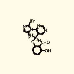 [2H]C([2H])(Oc1cccc(O)c1C=O)c1cncnc1-n1c(F)cnc1C(C)C